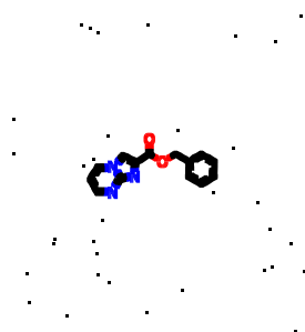 O=C(OCc1ccccc1)c1cn2cccnc2n1